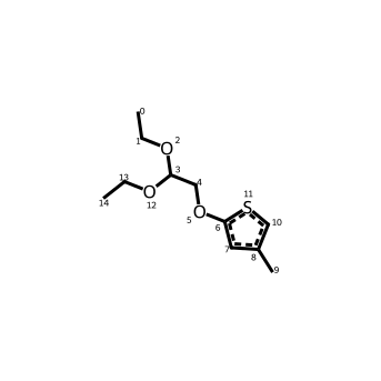 CCOC(COc1cc(C)cs1)OCC